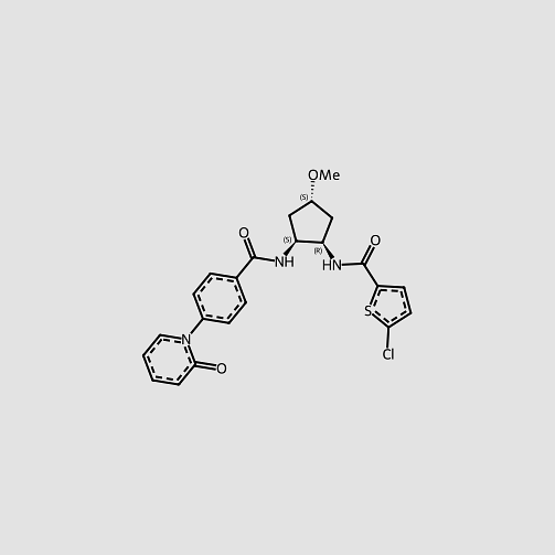 CO[C@H]1C[C@H](NC(=O)c2ccc(-n3ccccc3=O)cc2)[C@H](NC(=O)c2ccc(Cl)s2)C1